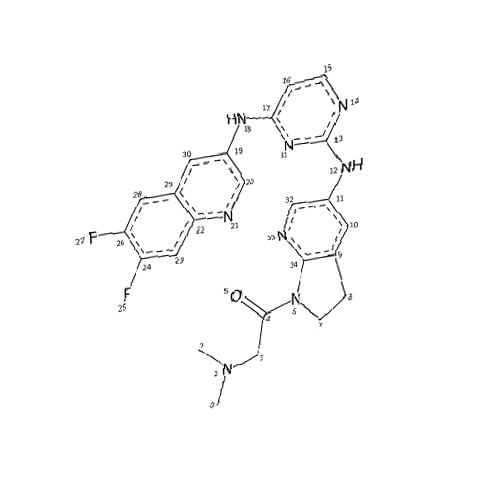 CN(C)CC(=O)N1CCc2cc(Nc3nccc(Nc4cnc5cc(F)c(F)cc5c4)n3)cnc21